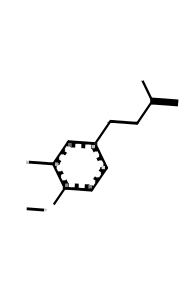 C=C(Cl)C[CH]c1ccc(OCC)c(Cl)c1